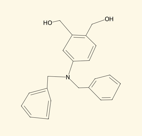 OCc1ccc(N(Cc2ccccc2)Cc2ccccc2)cc1CO